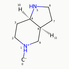 [CH2-][NH+]1CC[C@H]2NCC[C@H]2C1